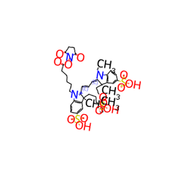 CCN1/C(=C/C=C/C2=[N+](CCCCCC(=O)ON3C(=O)CCC3=O)c3ccc(S(=O)(=O)O)cc3C2(C)CCCS(=O)(=O)O)C(C)(CCOC)c2cc(S(=O)(=O)O)ccc21